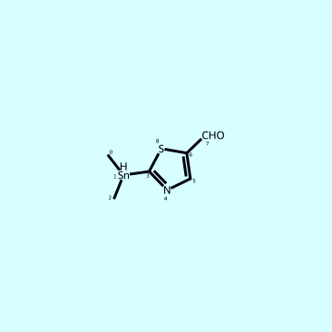 [CH3][SnH]([CH3])[c]1ncc(C=O)s1